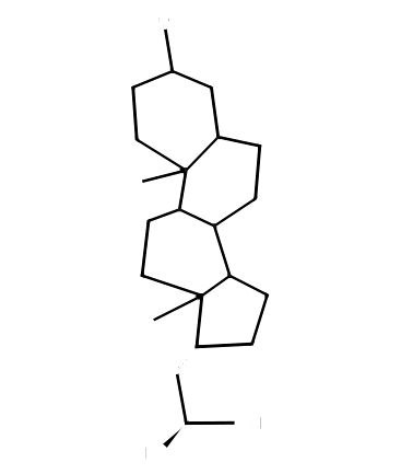 CC[C@H](O)C[C@H]1CCC2C3CCC4CC(O)CCC4(C)C3CCC21C